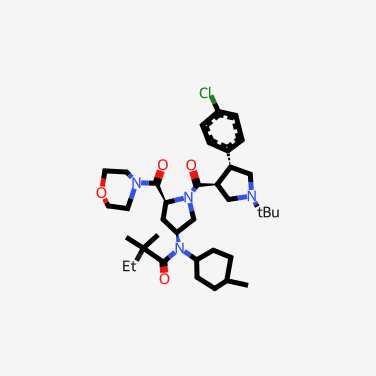 CCC(C)(C)C(=O)N(C1CCC(C)CC1)[C@H]1C[C@@H](C(=O)N2CCOCC2)N(C(=O)[C@@H]2CN(C(C)(C)C)C[C@H]2c2ccc(Cl)cc2)C1